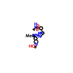 COc1cc2c(cc1Nc1ncc3ccc(-c4cccc(S(=O)(=O)NC5CC5)c4)n3n1)CCN(C[C@@H](C)O)CC2